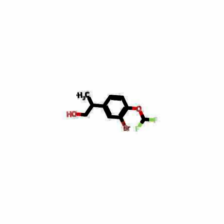 [CH2]C(CO)c1ccc(OC(F)F)c(Br)c1